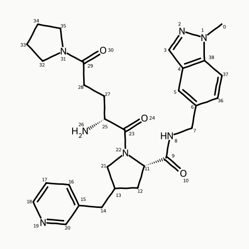 Cn1ncc2cc(CNC(=O)[C@@H]3CC(Cc4cccnc4)CN3C(=O)[C@H](N)CCC(=O)N3CCCC3)ccc21